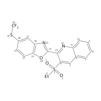 CCS(=O)(=O)c1cc2ccccc2nc1-c1nc2cc(SC(F)(F)F)ccc2o1